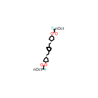 CCCCCCCC[C@H](F)C(=O)O[C@H]1CC[C@H](CCc2ccc(CC[C@H]3CC[C@H](OC(=O)[C@@H](F)CCCCCCCC)CC3)cc2)CC1